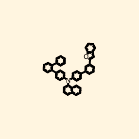 c1ccc(-c2ccccc2-c2ccc(N(c3ccc(-c4cccc(-c5cc6ccccc6o5)c4)cc3)c3cccc4ccccc34)cc2)cc1